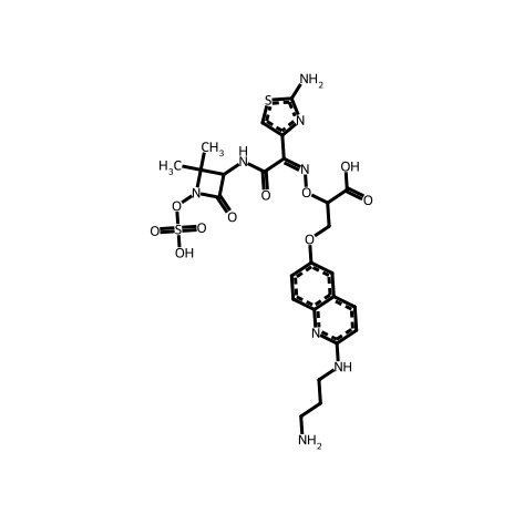 CC1(C)C(NC(=O)C(=NOC(COc2ccc3nc(NCCCN)ccc3c2)C(=O)O)c2csc(N)n2)C(=O)N1OS(=O)(=O)O